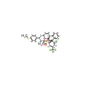 CSc1ccc(C2CC3C=Cc4c(ccc5ccccc45)C3C(C)(S(=O)(=O)c3cc(F)cc(C(F)(F)F)c3)C2)cc1